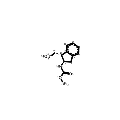 CC(C)(C)OC(=O)N[C@@H]1Cc2ccccc2[C@H]1CC(=O)O